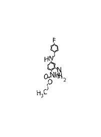 CCCOC(=O)Nc1ccc(NCc2ccc(F)cc2)cc1N